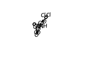 Cc1oc(=O)oc1COC(=O)C(Cc1ccccc1)N1C(=O)/C(=C\c2ccc(-c3ccc(Cl)c(Cl)c3)o2)NC1=S